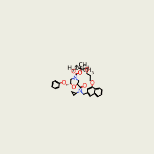 COCCCOc1cc(CN(C(=O)C2CN(C(=O)OC(C)(C)C)C[C@@H](COc3ccccc3)O2)C2CC2)cc2ccccc12